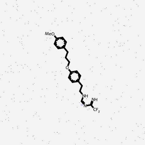 COc1ccc(CCCOc2ccc(CCN/C=N\C(=N)C(F)(F)F)cc2)cc1